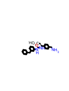 NCc1ccc([C@H](CC(=O)O)NC(=O)Nc2cccc(Cc3ccccc3)c2)cc1